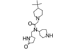 CC(C)(C)C1CCN(CC(=O)N(CC2CCC(=O)N2)C2CCNCC2)CC1